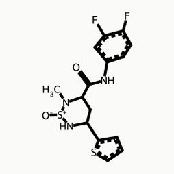 CN1C(C(=O)Nc2ccc(F)c(F)c2)CC(c2cccs2)N[S+]1[O-]